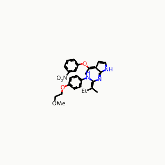 CC/C(C)=C(/N=C1/NC=C/C1=C(/C)Oc1cccc([N+](=O)[O-])c1)Nc1ccc(OCCOC)cc1